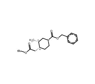 C[C@@H]1CN(C(=O)OCc2ccccc2)CC[C@@H]1CC(=O)OC(C)(C)C